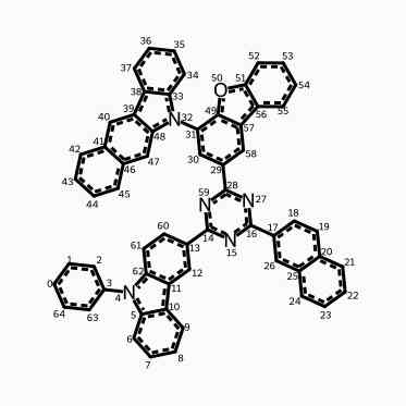 c1ccc(-n2c3ccccc3c3cc(-c4nc(-c5ccc6ccccc6c5)nc(-c5cc(-n6c7ccccc7c7cc8ccccc8cc76)c6oc7ccccc7c6c5)n4)ccc32)cc1